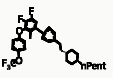 CCCCC[C@H]1CC[C@H](CCc2ccc(-c3cc(F)c(F)c(Oc4ccc(OC(F)(F)F)cc4)c3C)cc2)CC1